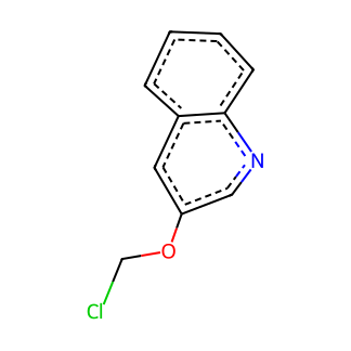 ClCOc1cnc2ccccc2c1